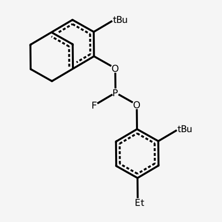 CCc1ccc(OP(F)Oc2c3cc(cc2C(C)(C)C)CCC3)c(C(C)(C)C)c1